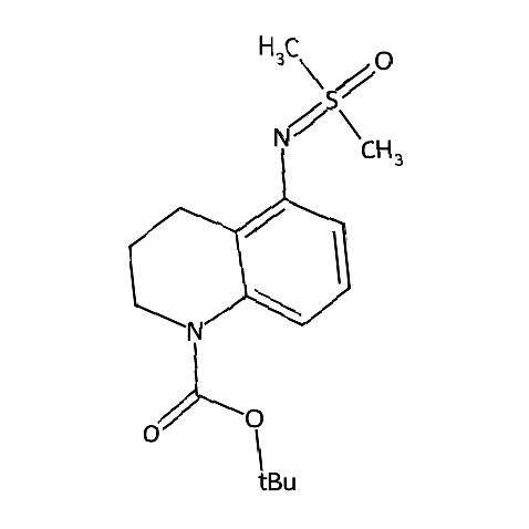 CC(C)(C)OC(=O)N1CCCc2c(N=S(C)(C)=O)cccc21